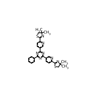 CC1(C)CSC(c2ccc(-c3nc(-c4ccccc4)nc(-c4ccc(C5=NC(C)(C)CS5)nc4)n3)cn2)=N1